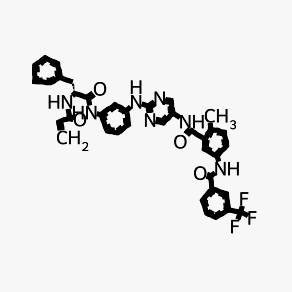 C=CC(=O)N[C@H](Cc1ccccc1)C(=O)Nc1cccc(Nc2ncc(NC(=O)c3cc(NC(=O)c4cccc(C(F)(F)F)c4)ccc3C)cn2)c1